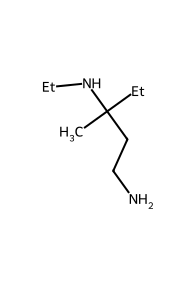 CCNC(C)(CC)CCN